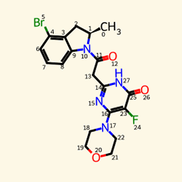 C[C@@H]1Cc2c(Br)cccc2N1C(=O)Cc1nc(N2CCOCC2)c(F)c(=O)[nH]1